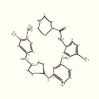 FC(F)(F)c1ccc(NC(=S)N2CCNCC2)cc1.O=Cc1ccnc(OC2CCC(Nc3ccc([N+](=O)[O-])c(C(F)(F)F)c3)CC2)c1